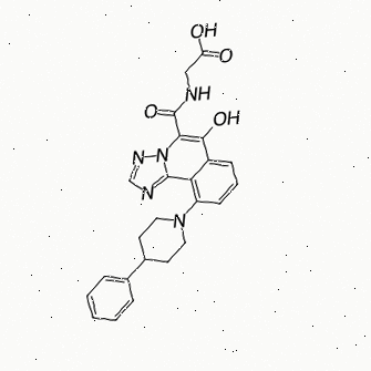 O=C(O)CNC(=O)c1c(O)c2cccc(N3CCC(c4ccccc4)CC3)c2c2ncnn12